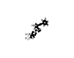 C[C@@H]1OCC2(CCN(c3nc4[nH]nc(C#Cc5c(F)c(F)c(F)c(F)c5F)c4c4nccn34)CC2)[C@@H]1N